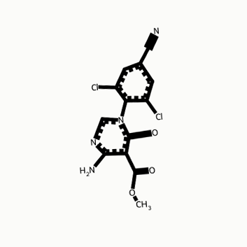 COC(=O)c1c(N)ncn(-c2c(Cl)cc(C#N)cc2Cl)c1=O